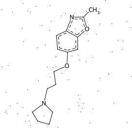 Cc1nc2ccc(OCCCN3CCCC3)cc2o1